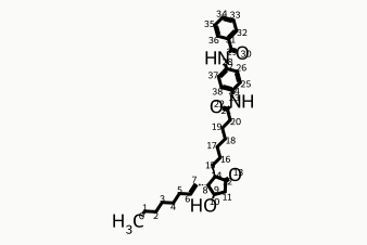 CCCCCC/C=C/[C@H]1[C@H](O)CC(=O)[C@@H]1CCCCCCC(=O)Nc1ccc(NC(=O)c2ccccc2)cc1